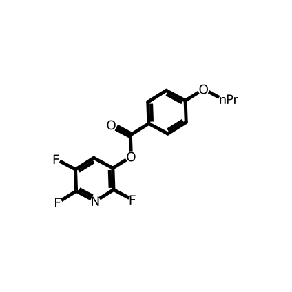 CCCOc1ccc(C(=O)Oc2cc(F)c(F)nc2F)cc1